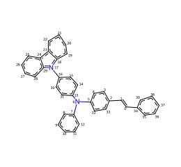 C(=Cc1ccc(N(c2ccccc2)c2ccc(-n3c4ccccc4c4ccccc43)cc2)cc1)c1ccccc1